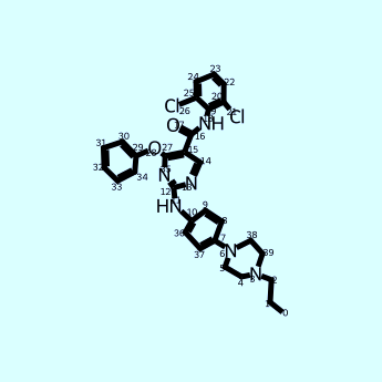 CCCN1CCN(c2ccc(Nc3ncc(C(=O)Nc4c(Cl)cccc4Cl)c(Oc4ccccc4)n3)cc2)CC1